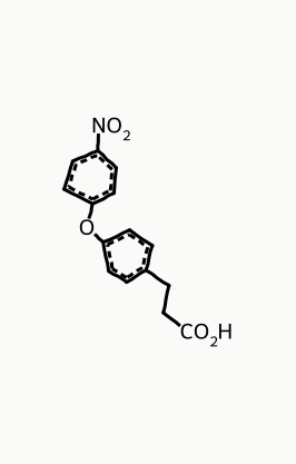 O=C(O)CCc1ccc(Oc2ccc([N+](=O)[O-])cc2)cc1